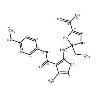 CCC1(Nc2snc(C)c2C(=O)Nc2ccc(OC)nc2)NC=C(C(=O)O)S1